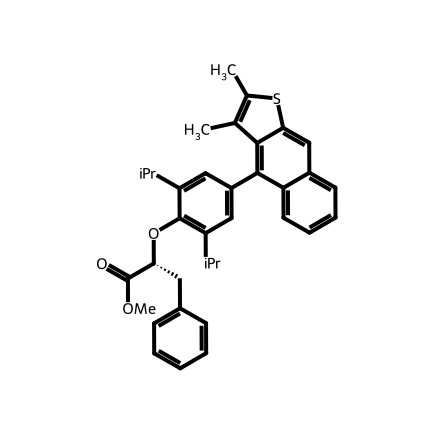 COC(=O)[C@@H](Cc1ccccc1)Oc1c(C(C)C)cc(-c2c3ccccc3cc3sc(C)c(C)c23)cc1C(C)C